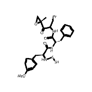 COc1ccc(C[C@H](NSS)C(=O)N[C@@H](Cc2ccccc2)C(=O)NC(CC(C)C)C(=O)[C@@]2(C)CO2)cc1